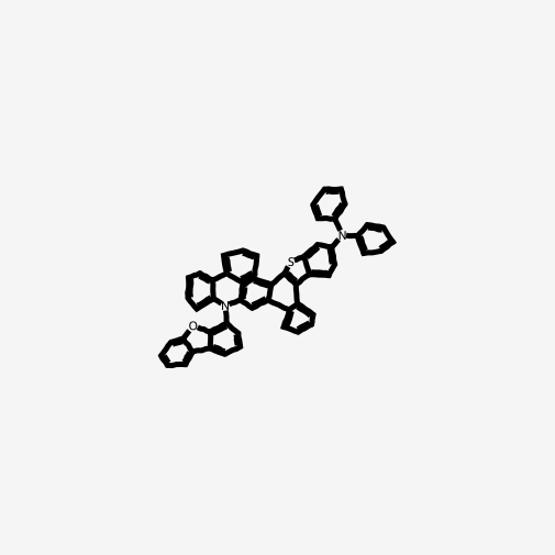 c1ccc(-c2ccccc2N(c2ccc3c(c2)c2ccccc2c2c4ccc(N(c5ccccc5)c5ccccc5)cc4sc32)c2cccc3c2oc2ccccc23)cc1